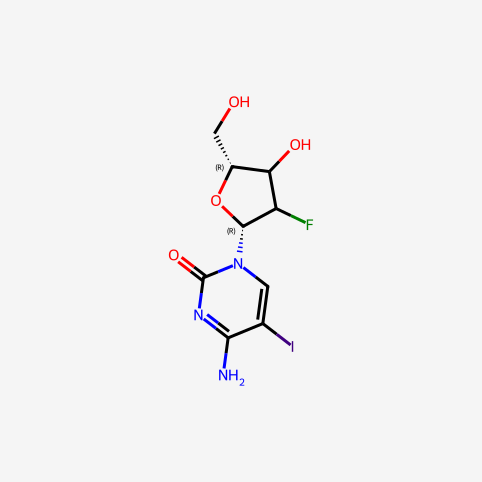 Nc1nc(=O)n([C@@H]2O[C@H](CO)C(O)C2F)cc1I